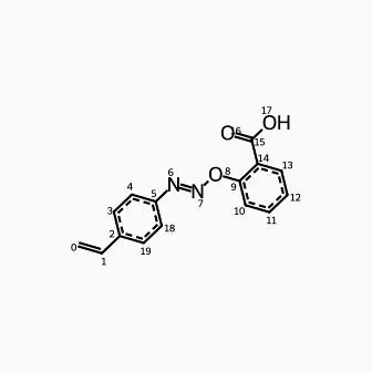 C=Cc1ccc(N=NOc2ccccc2C(=O)O)cc1